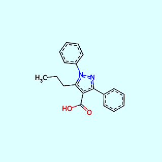 CCCc1c(C(=O)O)c(-c2ccccc2)nn1-c1ccccc1